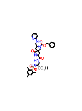 Cc1cc(C)c(S(=O)(=O)N[C@@H](CNC(=O)C2=NC(=O)C3(C2)CC(CNc2ccccn2)N(C(=O)OCc2ccccc2)C3)C(=O)O)c(C)c1